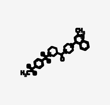 Cc1cc(N2CCN(C(=O)C3CCCN(S(=O)(=O)c4ccc(S(C)(=O)=O)cc4)C3)CC2)c2ccccc2n1